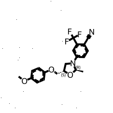 COc1ccc(OC[C@@H]2CN(c3ccc(C#N)c(C(F)(F)F)c3)[C@@H](C)O2)cc1